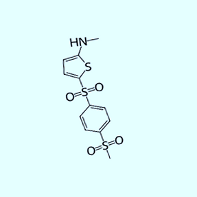 CNc1ccc(S(=O)(=O)c2ccc(S(C)(=O)=O)cc2)s1